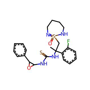 CC(CS1(=O)=NCCCCN1)(NC(=S)NC1OC1c1ccccc1)c1ccccc1F